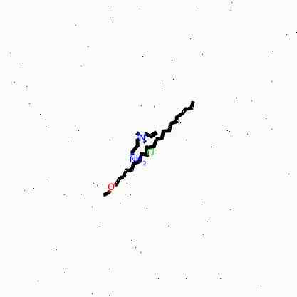 C=CC[N+](C)(C)CCCN.CCCCCCCCCCCCCCCCCCCCCCOCC.[Cl-]